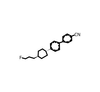 N#Cc1ccc(-c2ccc([C@H]3CC[C@H](CCCF)CC3)cc2)cc1